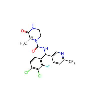 C[C@@H]1C(=O)NCCN1C(=O)NC(c1ccc(C(F)(F)F)nc1)c1ccc(Cl)c(Cl)c1F